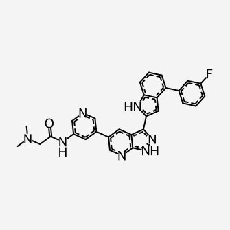 CN(C)CC(=O)Nc1cncc(-c2cnc3[nH]nc(-c4cc5c(-c6cccc(F)c6)cccc5[nH]4)c3c2)c1